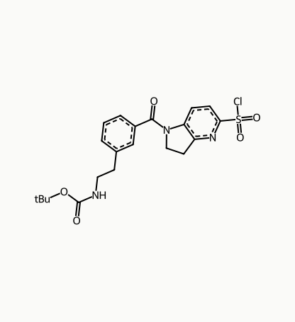 CC(C)(C)OC(=O)NCCc1cccc(C(=O)N2CCc3nc(S(=O)(=O)Cl)ccc32)c1